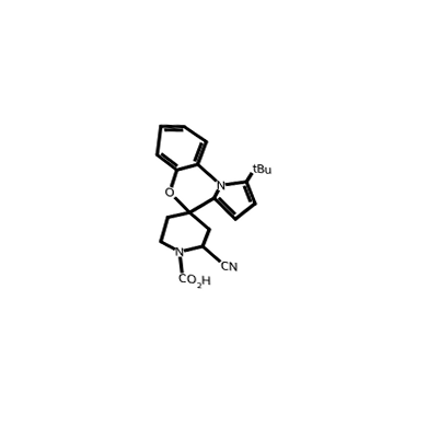 CC(C)(C)c1ccc2n1-c1ccccc1OC21CCN(C(=O)O)C(C#N)C1